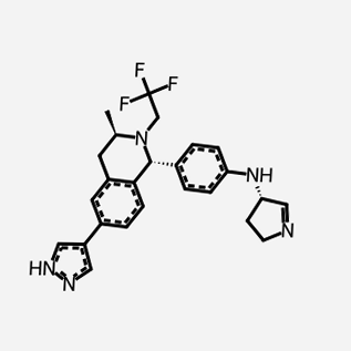 C[C@@H]1Cc2cc(-c3cn[nH]c3)ccc2[C@@H](c2ccc(N[C@@H]3C=NCC3)cc2)N1CC(F)(F)F